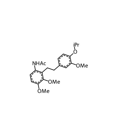 COc1cc(CCc2c(NC(C)=O)ccc(OC)c2OC)ccc1OC(C)C